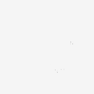 Cc1cc(CC2ON=C(CCc3ccccc3)C2(C)C)nc2ccccc12